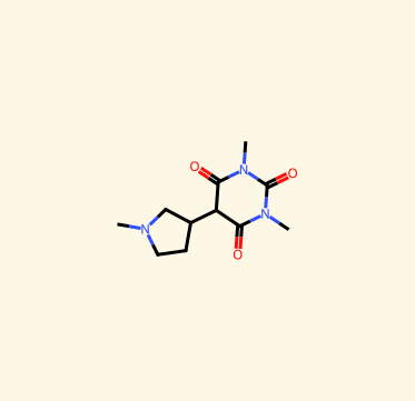 CN1CCC(C2C(=O)N(C)C(=O)N(C)C2=O)C1